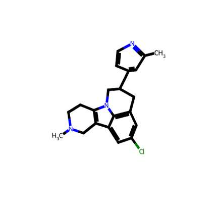 Cc1cc(C2Cc3cc(Cl)cc4c5c(n(c34)C2)CCN(C)C5)ccn1